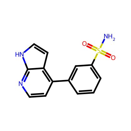 NS(=O)(=O)c1cccc(-c2ccnc3[nH]ccc23)c1